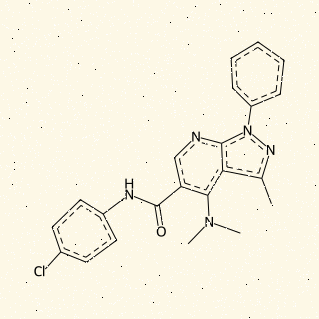 Cc1nn(-c2ccccc2)c2ncc(C(=O)Nc3ccc(Cl)cc3)c(N(C)C)c12